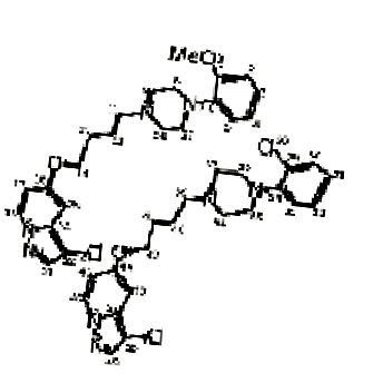 COc1ccccc1N1CCN(CCCCOc2ccn3ncc(Cl)c3c2)CC1.Clc1ccccc1N1CCN(CCCCOc2ccn3ncc(Cl)c3c2)CC1